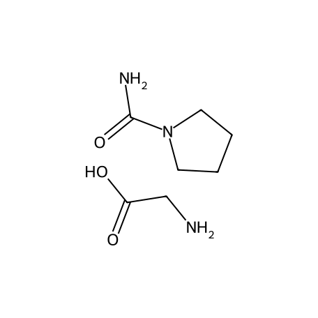 NC(=O)N1CCCC1.NCC(=O)O